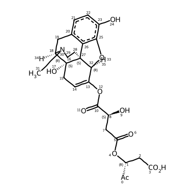 CC(=O)[C@@H](CC(=O)O)OC(=O)C[C@H](O)C(=O)OC1=CC[C@@]2(O)[C@H]3Cc4ccc(O)c5c4[C@@]2(CCN3C)[C@H]1O5